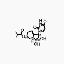 CC(C)C(=O)O[C@@H]1CC=C2[C@@H](n3ccc(=O)[nH]c3=O)[C@H](O)[C@H](O)[C@H]2C1